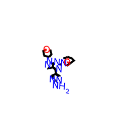 Nc1ncc(-c2nc(N3CC4CCC(C3)O4)nc3c2cnn3C2CCOCC2)cn1